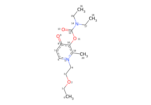 CCOCCn1ccc(=O)c(OC(=O)N(CC)CC)c1C